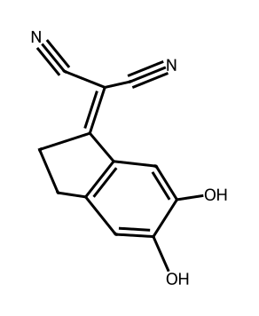 N#CC(C#N)=C1CCc2cc(O)c(O)cc21